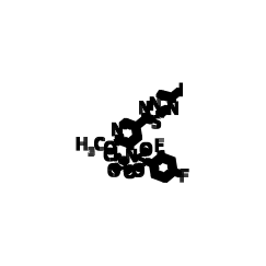 COc1ncc(-c2nn3cc(I)nc3s2)cc1N(S(=O)(=O)Cl)S(=O)(=O)c1ccc(F)cc1F